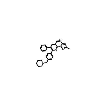 Cc1cc2ncc3cc(-c4ccccc4)c(-c4ccc(CN5CCCCC5)cc4)nc3n2n1